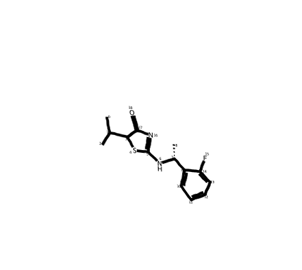 CC(C)C1SC(N[C@H](C)c2ccccc2F)=NC1=O